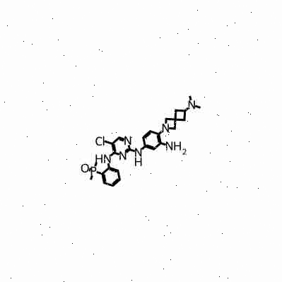 CN(C)C1CC2(C1)CN(c1ccc(Nc3ncc(Cl)c(Nc4ccccc4P(C)(C)=O)n3)cc1N)C2